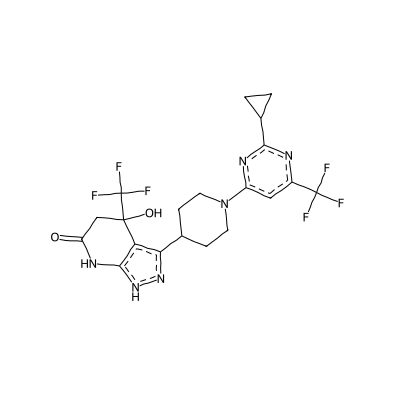 O=C1CC(O)(C(F)(F)F)c2c(C3CCN(c4cc(C(F)(F)F)nc(C5CC5)n4)CC3)n[nH]c2N1